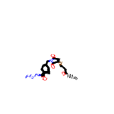 CNC(=O)CCSC1CC(=O)N(CC2CCC(C(N)=O)CC2)C1=O